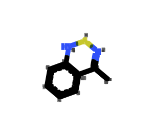 [CH2]C1=NSNc2ccccc21